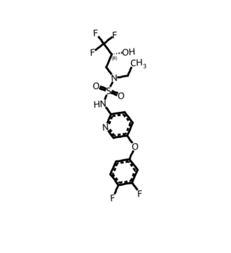 CCN(C[C@@H](O)C(F)(F)F)S(=O)(=O)Nc1ccc(Oc2ccc(F)c(F)c2)cn1